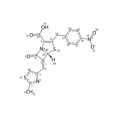 Cc1nc(/C=C2\C(=O)N3C(C(=O)O)=C(Cc4ccc([N+](=O)[O-])cc4)S[C@H]23)cs1